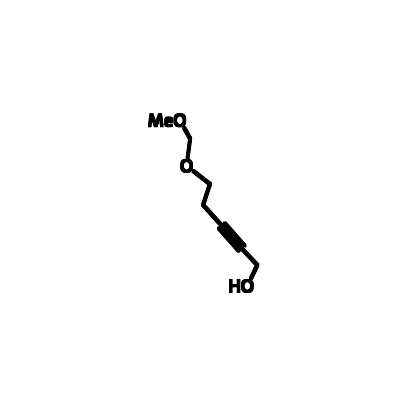 COCOCCC#CCO